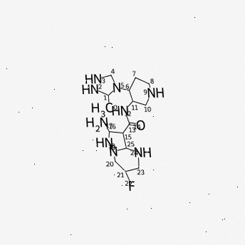 CC1NNCN1C1CCNCC1NC(=O)C1C(N)NN2CC(F)CNC12